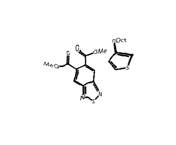 CCCCCCCCc1ccsc1.COC(=O)c1cc2nsnc2cc1C(=O)OC